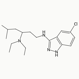 CCN(CC)C(CCNc1n[nH]c2ccc(Cl)cc12)CC(C)C